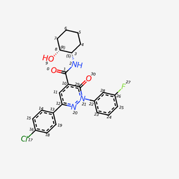 O=C(N[C@H]1CCCC[C@H]1O)c1cc(-c2ccc(Cl)cc2)nn(-c2cccc(F)c2)c1=O